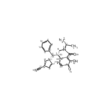 CC(C)N1C[C@@H]([C@@H](c2ccccc2)n2ccc(C#N)n2)n2ncc(=O)c(O)c2C1=O